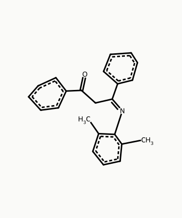 Cc1cccc(C)c1N=C(CC(=O)c1ccccc1)c1ccccc1